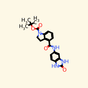 CC(C)(C)OC(=O)N1CCc2c(C(=O)Nc3ccc4[nH]c(=O)[nH]c4c3)cccc21